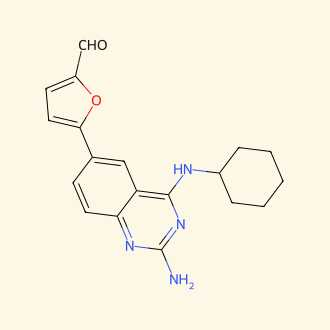 Nc1nc(NC2CCCCC2)c2cc(-c3ccc(C=O)o3)ccc2n1